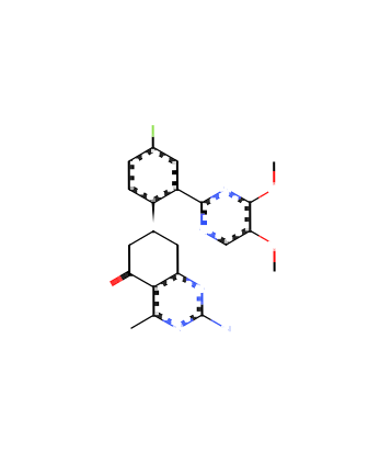 COc1cnc(-c2cc(F)ccc2[C@@H]2CC(=O)c3c(C)nc(N)nc3C2)nc1OC